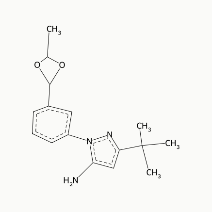 CC1OC(c2cccc(-n3nc(C(C)(C)C)cc3N)c2)O1